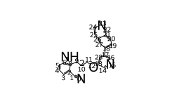 N#Cc1cccc(N)c1CCCOc1cncc(-c2ccc3cnccc3c2)c1